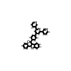 c1cncc(-c2cc(-c3ccc(-c4oc5ccccc5c5nc6ccccc6c4-5)cc3)cc(-c3cccnc3)n2)c1